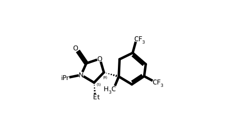 CC[C@H]1[C@@H](C2(C)C=C(C(F)(F)F)C=C(C(F)(F)F)C2)OC(=O)N1C(C)C